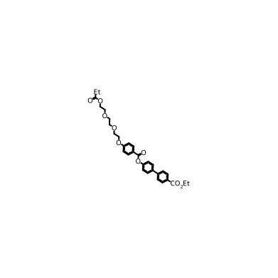 CCOC(=O)c1ccc(-c2ccc(OC(=O)c3ccc(OCCOCCOCCOC(=O)CC)cc3)cc2)cc1